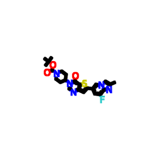 Cc1cn2cc(-c3cc4ncn(C5CCN(C(=O)OC(C)(C)C)CC5)c(=O)c4s3)cc(F)c2n1